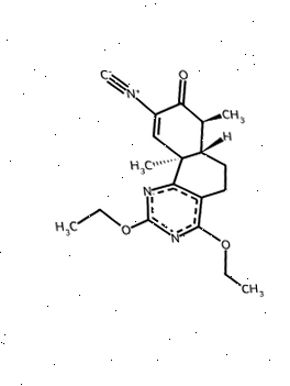 [C-]#[N+]C1=C[C@]2(C)c3nc(OCC)nc(OCC)c3CC[C@H]2[C@H](C)C1=O